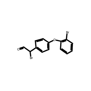 O=CC(Br)c1ccc(Oc2ccc[c]c2Br)cc1